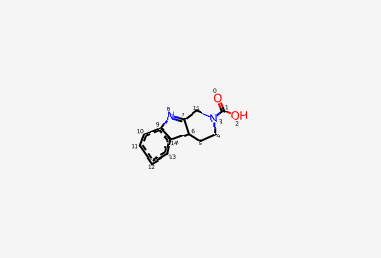 O=C(O)N1CCC2C(=Nc3ccccc32)C1